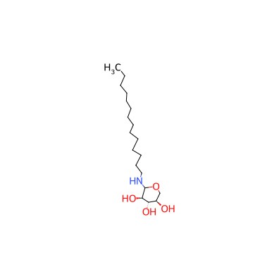 CCCCCCCCCCCCCCNC1OC[C@@H](O)[C@H](O)[C@H]1O